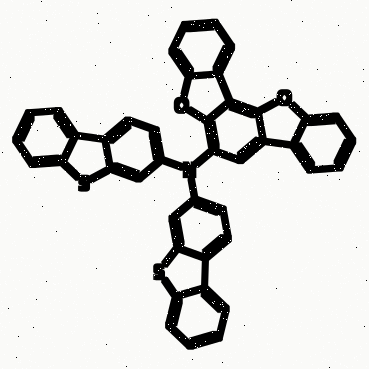 c1ccc2c(c1)oc1c2cc(N(c2ccc3c(c2)sc2ccccc23)c2ccc3c(c2)sc2ccccc23)c2oc3ccccc3c21